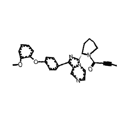 CC#CC(=O)N1CCC[C@H]1c1nc(-c2ccc(Oc3ccccc3OC)cc2)c2cnccn12